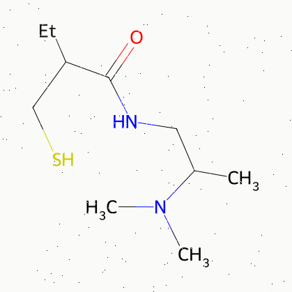 CCC(CS)C(=O)NCC(C)N(C)C